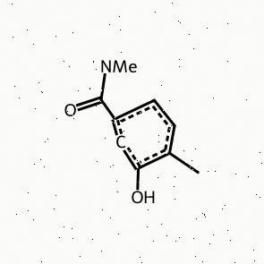 CNC(=O)c1ccc(C)c(O)c1